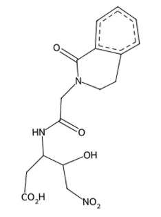 O=C(O)CC(NC(=O)CN1CCc2ccccc2C1=O)C(O)C[N+](=O)[O-]